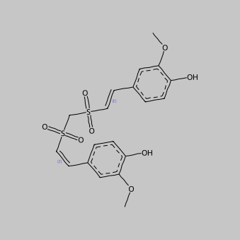 COc1cc(/C=C\S(=O)(=O)CS(=O)(=O)/C=C/c2ccc(O)c(OC)c2)ccc1O